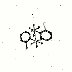 Fc1ccccc1[S](F)(F)(F)(F)[Ni][S](F)(F)(F)(F)c1ccccc1F